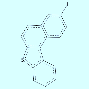 Ic1ccc2c(ccc3sc4ccccc4c32)c1